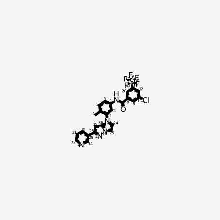 Cc1ccc(NC(=O)c2cc(Cl)cc(S(F)(F)(F)(F)F)c2)cc1-n1ccn2nc(-c3cccnc3)cc12